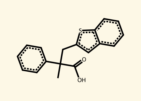 CC(Cc1cc2ccccc2s1)(C(=O)O)c1ccccc1